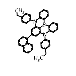 CCc1ccc(N2c3ccccc3B3c4ccccc4N(c4ccc(CC)cc4)c4cc(-c5cccc6ccccc56)cc2c43)cc1